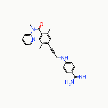 Cc1cc(C(=O)N(C)c2ccccn2)c(C)cc1C#CCNc1ccc(C(=N)N)cc1